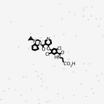 O=C(O)CCNC(=O)c1cc(Cl)c(Oc2ccncc2C(=O)N2CCN(C3CC3)c3ccccc32)cc1Cl